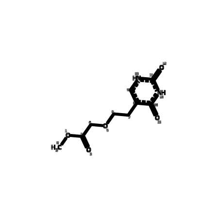 COC(=O)COCCc1c[nH]c(=O)[nH]c1=O